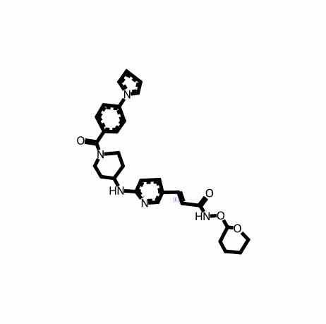 O=C(/C=C/c1ccc(NC2CCN(C(=O)c3ccc(-n4cccc4)cc3)CC2)nc1)NOC1CCCCO1